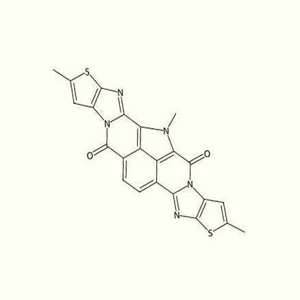 Cc1cc2c(nc3c4ccc5c(=O)n6c7cc(C)sc7nc6c6c5c4c(c(=O)n23)n6C)s1